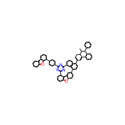 CC1C2CC=C(c3ccc(-c4ccc5oc6cccc(-c7nc(-c8ccccc8)nc(-c8ccc(-c9cccc%10c9oc9ccccc9%10)cc8)n7)c6c5c4)cc3)C=C2c2ccccc2C1c1ccccc1